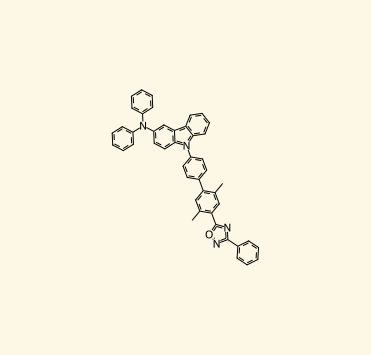 Cc1cc(-c2nc(-c3ccccc3)no2)c(C)cc1-c1ccc(-n2c3ccccc3c3cc(N(c4ccccc4)c4ccccc4)ccc32)cc1